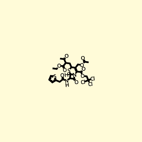 CCOC(=O)C(CC1S[C@H]2C(NC(=O)Cc3cccs3)C(=O)N2C(C(=O)OCC(Cl)(Cl)Cl)=C1COC(C)=O)C(C)=O